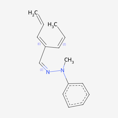 C=C/C=C(\C=C/C)/C=N\N(C)c1ccccc1